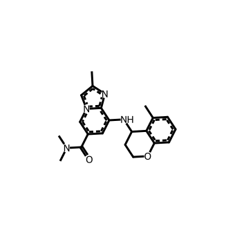 Cc1cn2cc(C(=O)N(C)C)cc(NC3CCOc4cccc(C)c43)c2n1